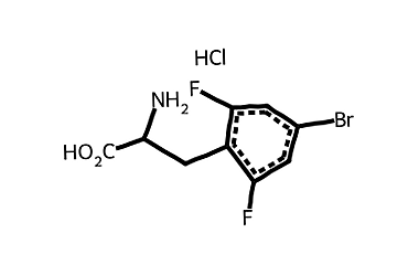 Cl.NC(Cc1c(F)cc(Br)cc1F)C(=O)O